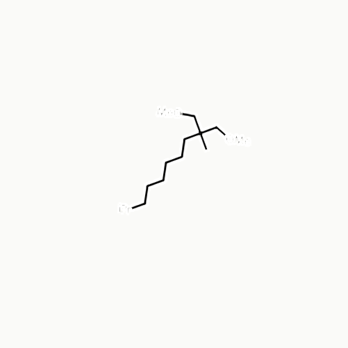 COCC(C)(CCCCCCC(C)C)COC